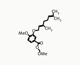 COCOC(=O)c1ccc(OC)c(OC/C=C(\C)CCC=C(C)C)c1